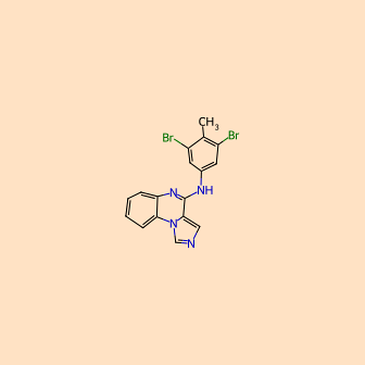 Cc1c(Br)cc(Nc2nc3ccccc3n3cncc23)cc1Br